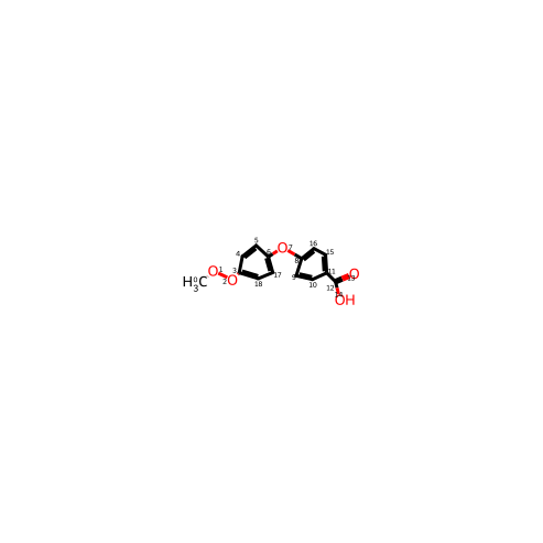 COOc1ccc(Oc2ccc(C(=O)O)cc2)cc1